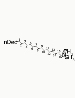 CCCCCCCCCCCCCCCCCCCCCCCCC[CH]N(C)C